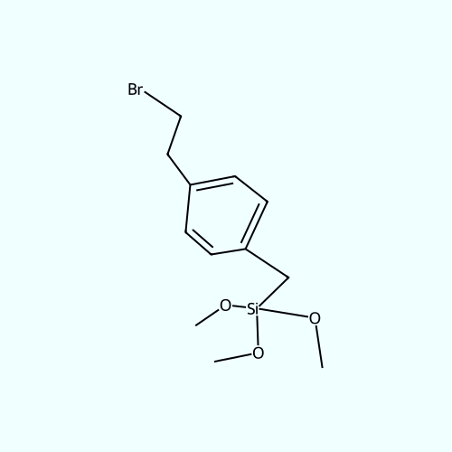 CO[Si](Cc1ccc(CCBr)cc1)(OC)OC